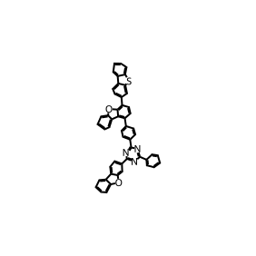 c1ccc(-c2nc(-c3ccc(-c4ccc(-c5ccc6c(c5)sc5ccccc56)c5oc6ccccc6c45)cc3)nc(-c3ccc4c(c3)oc3ccccc34)n2)cc1